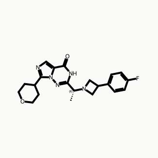 C[C@H](c1nn2c(C3CCOCC3)ncc2c(=O)[nH]1)N1CC(c2ccc(F)cc2)C1